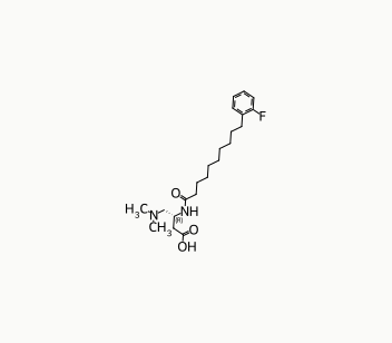 CN(C)C[C@@H](CC(=O)O)NC(=O)CCCCCCCCCc1ccccc1F